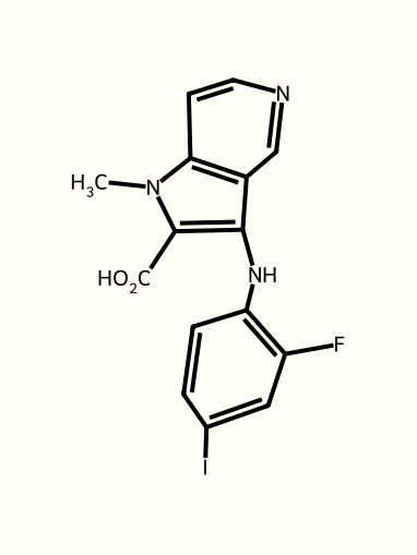 Cn1c(C(=O)O)c(Nc2ccc(I)cc2F)c2cnccc21